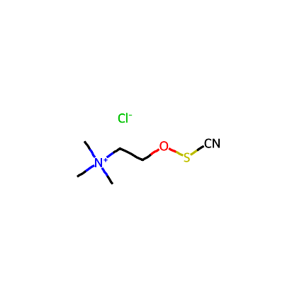 C[N+](C)(C)CCOSC#N.[Cl-]